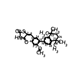 COc1ccc(/C=C2/SC(=O)NC2=O)cc1-c1ccc2c(c1)C(C)(C)CCC2(C)C